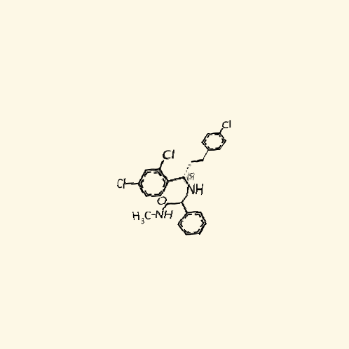 CNC(=O)C(N[C@@H](CCc1ccc(Cl)cc1)c1ccc(Cl)cc1Cl)c1ccccc1